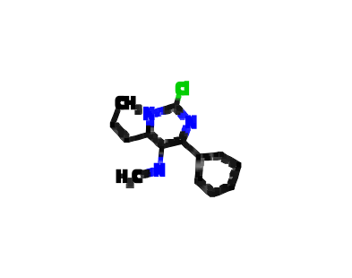 C=Nc1c(/C=C\C)nc(Cl)nc1-c1ccccc1